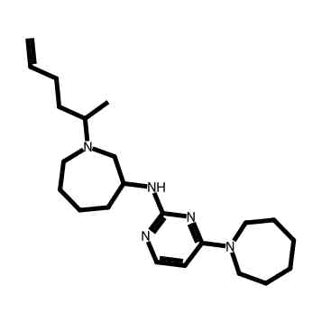 C=CCCC(C)N1CCCCC(Nc2nccc(N3CCCCCC3)n2)C1